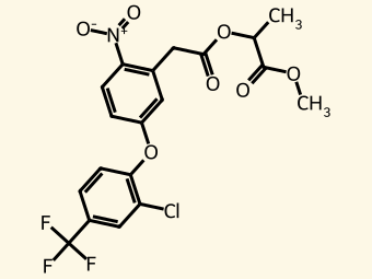 COC(=O)C(C)OC(=O)Cc1cc(Oc2ccc(C(F)(F)F)cc2Cl)ccc1[N+](=O)[O-]